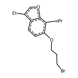 CCCc1c(OCCCBr)ccc2c(CC)coc12